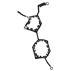 Cn1nc(-c2ccc(Cl)cc2)cc1C=O